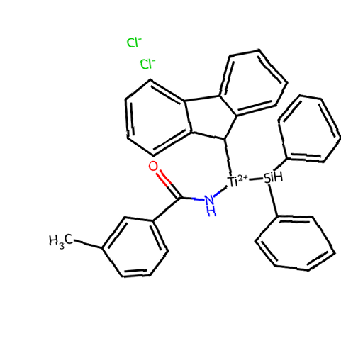 Cc1cccc(C(=O)[NH][Ti+2]([CH]2c3ccccc3-c3ccccc32)[SiH](c2ccccc2)c2ccccc2)c1.[Cl-].[Cl-]